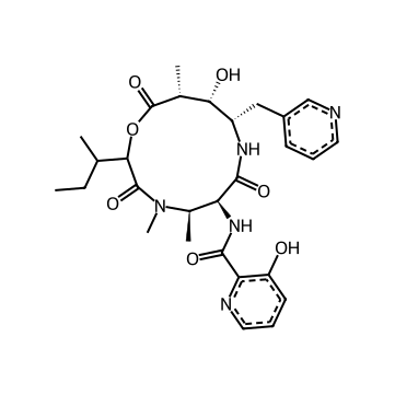 CCC(C)C1OC(=O)[C@H](C)[C@H](O)[C@H](Cc2cccnc2)NC(=O)[C@@H](NC(=O)c2ncccc2O)[C@@H](C)N(C)C1=O